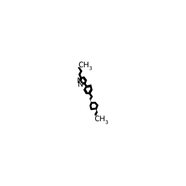 CCCCc1ccc(-c2ccc(CC[C@H]3CC[C@H](CCC)CC3)cc2)nn1